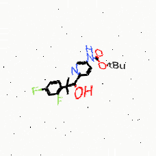 CC(C)(C)OC(=O)Nc1ccc(C(O)C(C)(C)c2ccc(F)cc2F)nc1